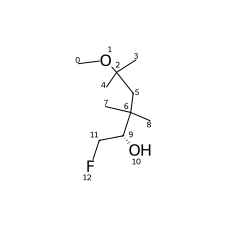 COC(C)(C)CC(C)(C)[C@H](O)CF